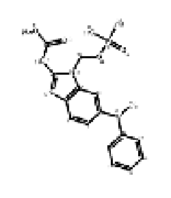 COC(=O)Nc1nc2ccc([S+]([O-])c3ccccc3)cc2n1COP(=O)(O)O